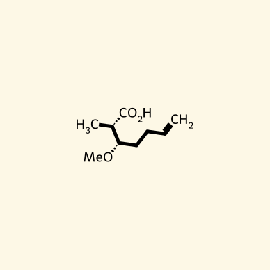 C=CCC[C@H](OC)[C@H](C)C(=O)O